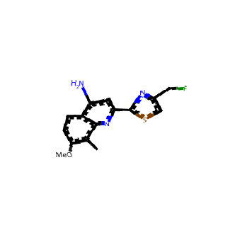 COc1ccc2c(N)cc(-c3nc(CF)cs3)nc2c1C